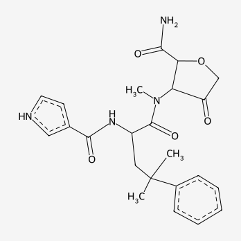 CN(C(=O)C(CC(C)(C)c1ccccc1)NC(=O)c1cc[nH]c1)C1C(=O)COC1C(N)=O